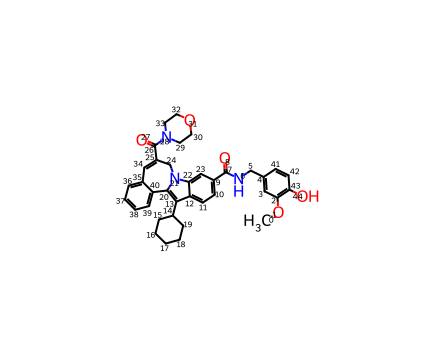 COc1cc(CNC(=O)c2ccc3c(C4CCCCC4)c4n(c3c2)CC(C(=O)N2CCOCC2)=Cc2ccccc2-4)ccc1O